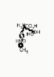 Cc1ccc(NC(=O)N2CCN(CCCC(N)(CCCCB(O)O)C(=O)O)CC2)cc1